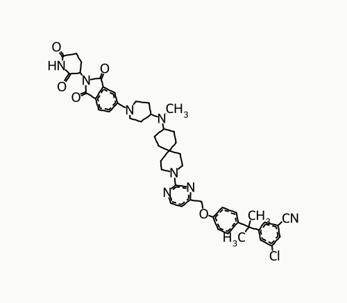 CN(C1CCN(c2ccc3c(c2)C(=O)N(C2CCC(=O)NC2=O)C3=O)CC1)C1CCC2(CC1)CCN(c1nccc(COc3ccc(C(C)(C)c4cc(Cl)cc(C#N)c4)cc3)n1)CC2